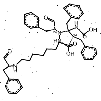 O=CC(Cc1ccccc1)NCCCCCCCC[C@@H](Cc1ccccc1)C(Cc1ccccc1)(NC(=O)O)N(NC(=O)O)[C@H](C=O)Cc1ccccc1